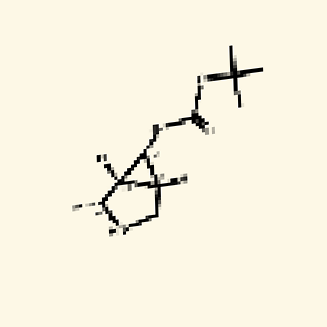 C[C@H]1NC[C@H]2[C@H](NC(=O)OC(C)(C)C)[C@H]21